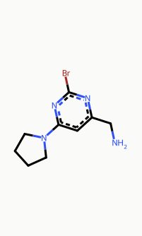 NCc1cc(N2CCCC2)nc(Br)n1